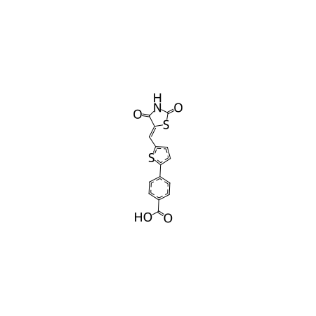 O=C1NC(=O)C(=Cc2ccc(-c3ccc(C(=O)O)cc3)s2)S1